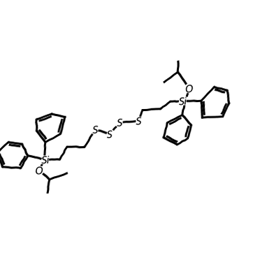 CC(C)O[Si](CCCSSSSCCC[Si](OC(C)C)(c1ccccc1)c1ccccc1)(c1ccccc1)c1ccccc1